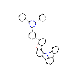 c1ccc(-c2nc(-c3ccccc3)nc(-c3cccc(-c4cccc5c4oc4ccc6c7cccc8c9ccccc9n(c87)c6c45)c3)n2)cc1